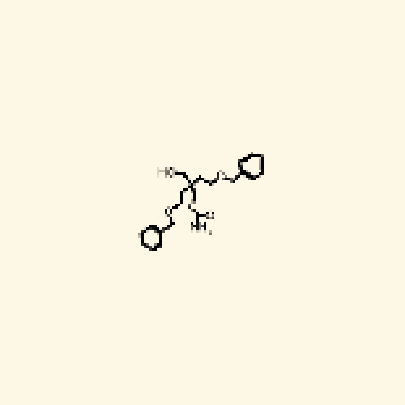 NC(=O)OCC(CO)(CCOCc1ccccc1)CCOCc1ccccc1